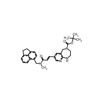 CN(Cc1ccc2c3c(cccc13)CC2)C(=O)C=Cc1cnc2c(c1)CN(C(=O)OC(C)(C)C)CCN2